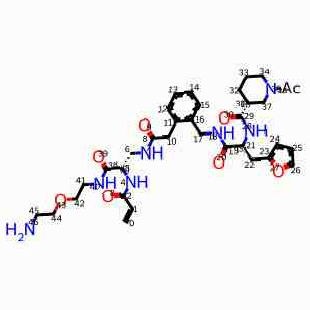 C=CC(=O)N[C@@H](CNC(=O)Cc1ccccc1CNC(=O)[C@H](Cc1ccco1)NC(=O)[C@@H]1CCCN(C(C)=O)C1)C(=O)NCCOCCN